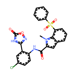 Cn1c(C(=O)Nc2ccc(Cl)cc2-c2noc(=O)[nH]2)cc2cccc(S(=O)(=O)c3ccccc3)c21